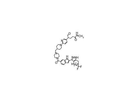 CNC(=O)CCC(C=O)c1ccc(N2CCC(CN3CCN(C(=O)c4ccc5cc(-c6n[nH]c7c6CC6C(F)(F)C6(C)C7)[nH]c5c4)CC3)CC2)nc1